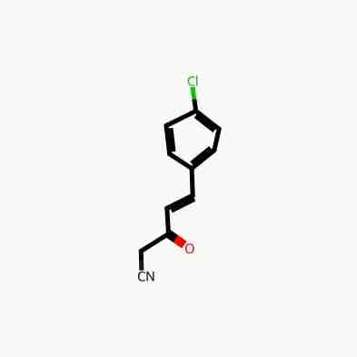 N#CCC(=O)C=Cc1ccc(Cl)cc1